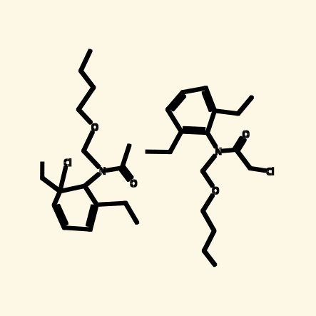 CCCCOCN(C(=O)CCl)c1c(CC)cccc1CC.CCCCOCN(C(C)=O)C1C(CC)=CC=CC1(Cl)CC